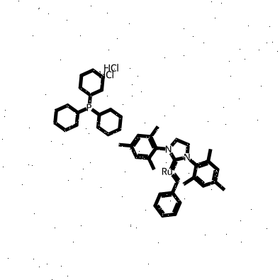 C1CCC(P(C2CCCCC2)C2CCCCC2)CC1.Cc1cc(C)c(N2CCN(c3c(C)cc(C)cc3C)[C]2=[Ru]=[CH]c2ccccc2)c(C)c1.Cl.Cl